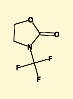 O=C1OCCN1C(F)(F)F